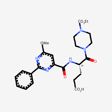 CCOC(=O)N1CCN(C(=O)[C@H](CCC(=O)O)NC(=O)c2cc(OC)nc(-c3ccccc3)n2)CC1